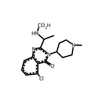 CC(NC(=O)O)c1nc2cccc(Cl)c2c(=O)n1C1CCN(C)CC1